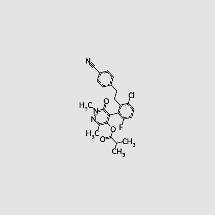 Cc1nn(C)c(=O)c(-c2c(F)ccc(Cl)c2CCc2ccc(C#N)cc2)c1OC(=O)C(C)C